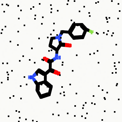 O=C(NC1CCN(Cc2ccc(F)cc2)C1=O)C(=O)c1c[nH]c2ccccc12